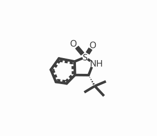 CC(C)(C)[C@H]1NS(=O)(=O)c2ccccc21